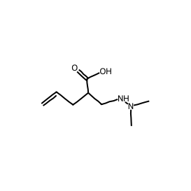 C=CCC(CNN(C)C)C(=O)O